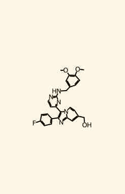 COc1ccc(CNc2nccc(-c3c(-c4ccc(F)cc4)nc4cc(CO)ccn34)n2)cc1OC